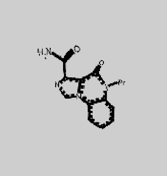 CC(C)n1c(=O)c2c(C(N)=O)ncn2c2ccccc21